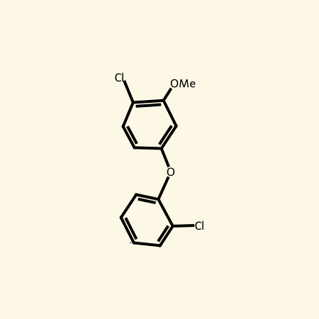 COc1cc(Oc2cc[c]cc2Cl)ccc1Cl